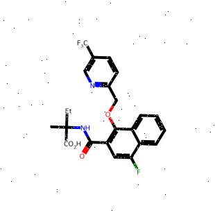 CCC(C)(NC(=O)c1cc(F)c2ccccc2c1OCc1ccc(C(F)(F)F)cn1)C(=O)O